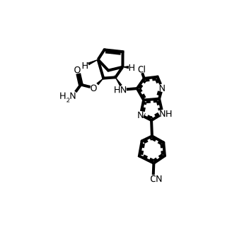 N#Cc1ccc(-c2nc3c(N[C@H]4[C@@H](OC(N)=O)[C@@H]5C=C[C@H]4C5)c(Cl)cnc3[nH]2)cc1